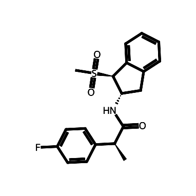 C[C@H](C(=O)N[C@H]1Cc2ccccc2[C@@H]1S(C)(=O)=O)c1ccc(F)cc1